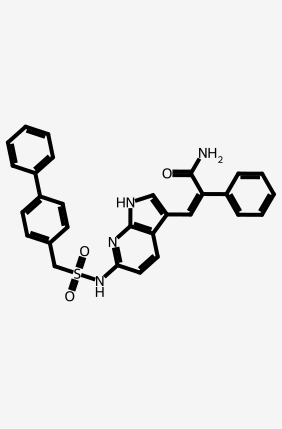 NC(=O)C(=Cc1c[nH]c2nc(NS(=O)(=O)Cc3ccc(-c4ccccc4)cc3)ccc12)c1ccccc1